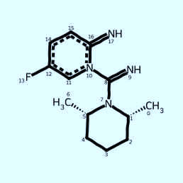 C[C@@H]1CCC[C@H](C)N1C(=N)n1cc(F)ccc1=N